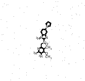 [2H]c1nc(C[S+]([O-])c2nc3cc(-n4cccc4)ccc3n2[2H])c(C)c(OC)c1[2H]